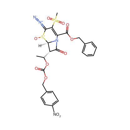 CC(OC(=O)OCc1ccc([N+](=O)[O-])cc1)[C@H]1C(=O)N2C(C(=O)OCc3ccccc3)=C(S(C)(=O)=O)C(=[N+]=[N-])[S+]([O-])[C@H]12